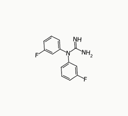 N=C(N)N(c1cccc(F)c1)c1cccc(F)c1